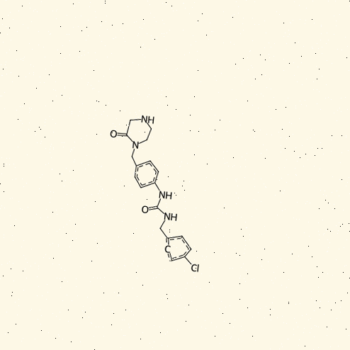 O=C(NCc1ccc(Cl)cc1)Nc1ccc(CN2CCNCC2=O)cc1